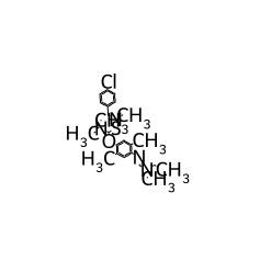 CCN(C)/C=N/c1cc(C)c(OC(SN(C)Cc2ccc(Cl)cc2)N(C)C)cc1C